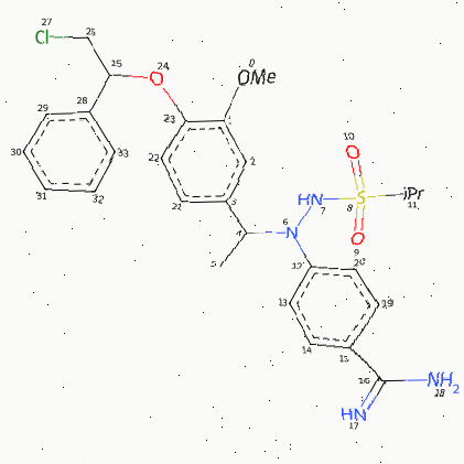 COc1cc(C(C)N(NS(=O)(=O)C(C)C)c2ccc(C(=N)N)cc2)ccc1OC(CCl)c1ccccc1